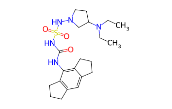 CCN(CC)C1CCN(NS(=O)(=O)NC(=O)Nc2c3c(cc4c2CCC4)CCC3)C1